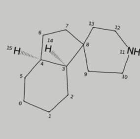 C1CC[C@H]2[C@@H](C1)CCC21CCNCC1